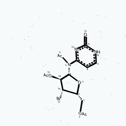 CC(=O)OC[C@H]1O[C@@H](N(C(C)=O)c2cc[nH]c(=O)n2)[C@H](OC(C)=O)[C@H]1Br